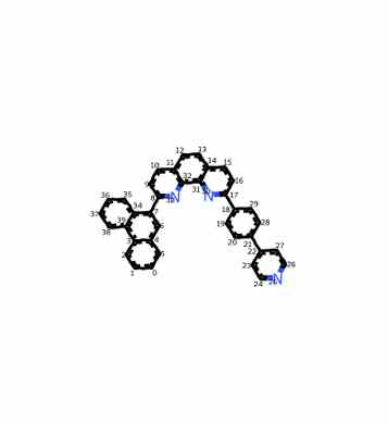 c1ccc2c(c1)cc(-c1ccc3ccc4ccc(-c5ccc(-c6ccncc6)cc5)nc4c3n1)c1ccccc12